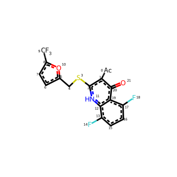 CC(=O)c1c(SCc2ccc(C(F)(F)F)o2)[nH]c2c(F)ccc(F)c2c1=O